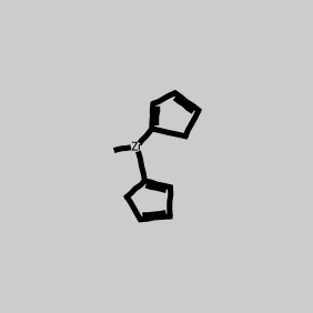 [CH3][Zr]([C]1=CC=CC1)[C]1=CC=CC1